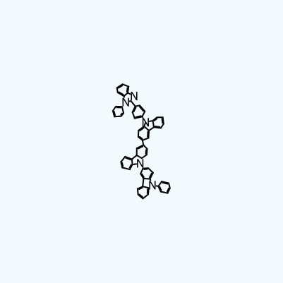 C1=CC2C(C=C1c1ccc3c(c1)c1ccccc1n3-c1ccc(-c3nc4ccccc4n3-c3ccccc3)cc1)c1ccccc1N2c1ccc2c(c1)c1ccccc1n2-c1ccccc1